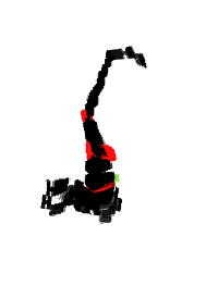 CCCCCCCCCCCCOc1ccc(C(=O)Oc2ccc(-c3ccc(OC(C)C[Si](C)(C)O[Si](C)(C)C)c(F)c3)cc2)cc1